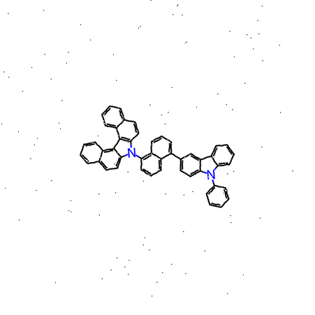 c1ccc(-n2c3ccccc3c3cc(-c4cccc5c(-n6c7ccc8ccccc8c7c7c8ccccc8ccc76)cccc45)ccc32)cc1